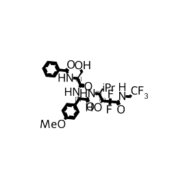 COc1ccc([C@H](NC(=O)[C@H](CO)NC(=O)c2ccccc2)C(=O)N[C@@H](C(C)C)[C@@H](O)C(F)(F)C(=O)NCC(F)(F)F)cc1